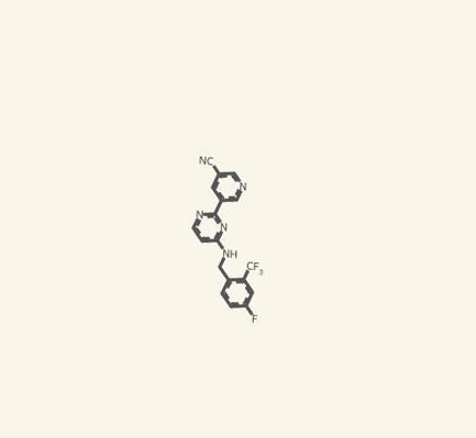 N#Cc1cncc(-c2nccc(NCc3ccc(F)cc3C(F)(F)F)n2)c1